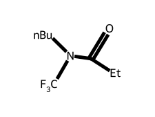 CCCCN(C(=O)CC)C(F)(F)F